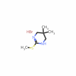 Br.CSC1=NCC(C)(C)CN1